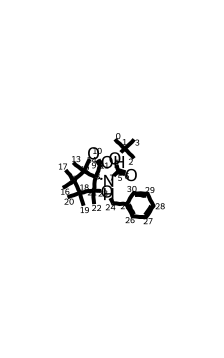 CC(C)(C)OC(=O)N[C@@]1(C(=O)O)C(C)(C)C(C)(C)C(C)(C)C1(C)OCc1ccccc1